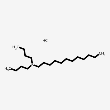 CCCCCCCCCCCCP(CCCC)CCCC.Cl